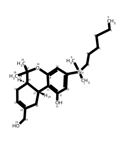 CCCCCC[Si](C)(C)c1cc(O)c2c(c1)OC(C)(C)[C@@H]1CC=C(CO)C[C@@H]21